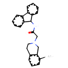 COc1cccc2c1CN(CC(=O)NC1c3ccccc3-c3ccccc31)CC2